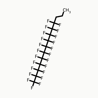 CCCC(F)(F)C(F)(F)C(F)(F)C(F)(F)C(F)(F)C(F)(F)C(F)(F)C(F)(F)C(F)(F)C(F)(F)C(F)(F)F